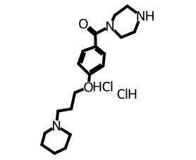 Cl.Cl.O=C(c1ccc(OCCCN2CCCCC2)cc1)N1CCNCC1